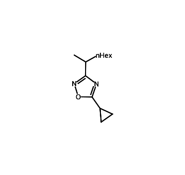 CCCCCCC(C)c1noc(C2CC2)n1